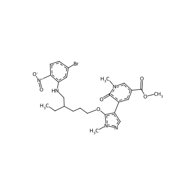 CCC(CCCOc1c(-c2cc(C(=O)OC)cn(C)c2=O)cnn1C)CNc1cc(Br)ccc1[N+](=O)[O-]